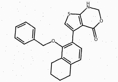 O=C1OCNc2scc(-c3ccc4c(c3OCc3ccccc3)CCCC4)c21